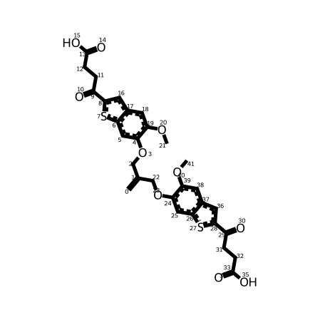 C=C(COc1cc2sc(C(=O)CCC(=O)O)cc2cc1OC)COc1cc2sc(C(=O)CCC(=O)O)cc2cc1OC